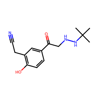 CC(C)(C)NNCC(=O)c1ccc(O)c(CC#N)c1